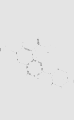 CC1Cc2cnc(N3CCNCC3)cc2C(C(=O)OC(C)(C)C)=N1